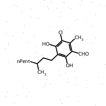 [CH2]CCCCC(C)CCc1c(O)c(Cl)c(C)c(C=O)c1O